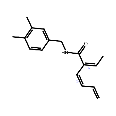 C=C/C=C\C(=C\C)C(=O)NCc1ccc(C)c(C)c1